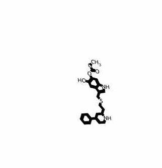 COC(=O)Oc1cc2[nH]cc(CSCCC3CC(c4ccccc4)=CCN3)c2cc1O